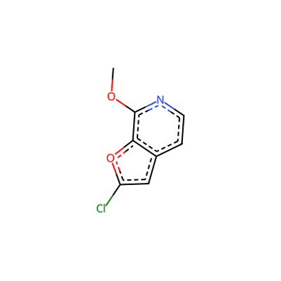 COc1nccc2cc(Cl)oc12